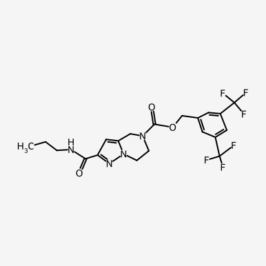 CCCNC(=O)c1cc2n(n1)CCN(C(=O)OCc1cc(C(F)(F)F)cc(C(F)(F)F)c1)C2